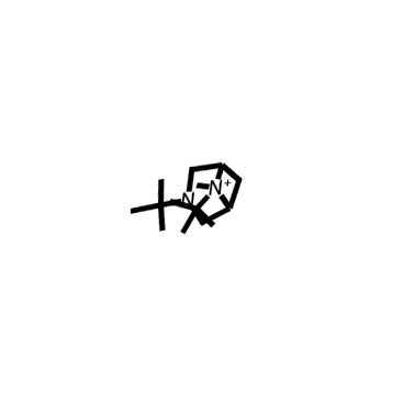 CC(C)(C)N1CC2CC(C1)[N+]2(C)C(C)(C)C